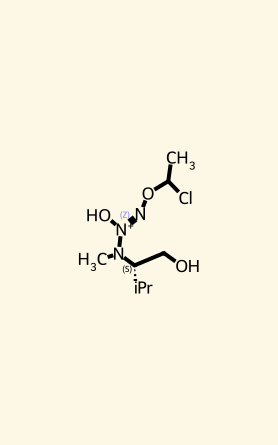 CC(Cl)O/N=[N+](\O)N(C)[C@H](CO)C(C)C